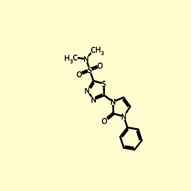 CN(C)S(=O)(=O)c1nnc(-n2ccn(-c3ccccc3)c2=O)s1